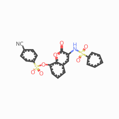 N#Cc1ccc(S(=O)(=O)Oc2cccc3cc(NS(=O)(=O)c4ccccc4)c(=O)oc23)cc1